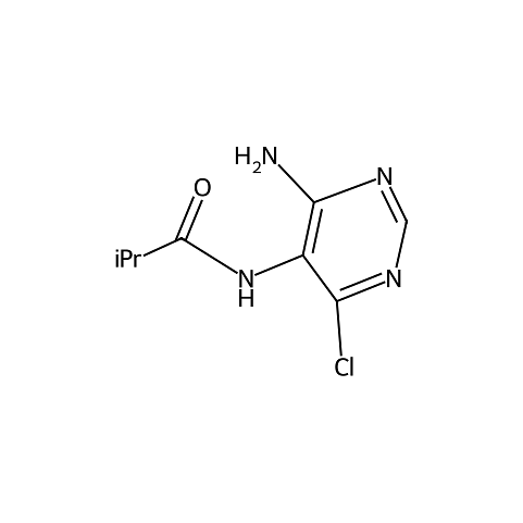 CC(C)C(=O)Nc1c(N)ncnc1Cl